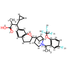 CC(C(=O)O)C(c1ccc2c(c1)OC(C13CCN(C(C)c4cc(F)ccc4OC(F)(F)F)C(C1)C3)CC2)C1CC1